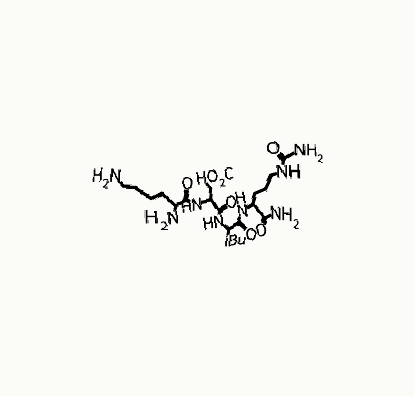 CCC(C)C(NC(=O)C(CC(=O)O)NC(=O)C(N)CCCCN)C(=O)NC(CCCNC(N)=O)C(N)=O